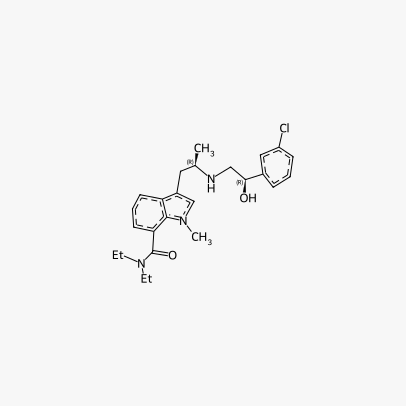 CCN(CC)C(=O)c1cccc2c(C[C@@H](C)NC[C@H](O)c3cccc(Cl)c3)cn(C)c12